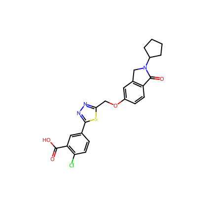 O=C(O)c1cc(-c2nnc(COc3ccc4c(c3)CN(C3CCCC3)C4=O)s2)ccc1Cl